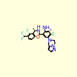 C[C@@H](NC(=O)c1cc(N2CCn3nccc3C2)c(F)cc1N)c1cccc(C(F)F)c1F